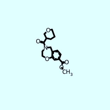 COC(=O)c1ccc2c(c1)OCCN(C(=O)C1CCCOC1)C2